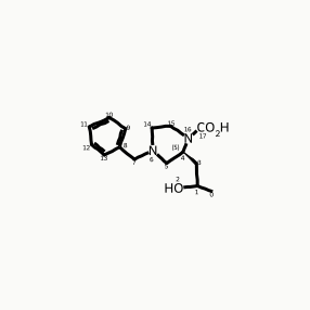 CC(O)C[C@H]1CN(Cc2ccccc2)CCN1C(=O)O